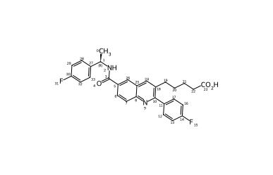 C[C@@H](NC(=O)c1ccc2nc(-c3ccc(F)cc3)c(CCCCC(=O)O)cc2c1)c1ccc(F)cc1